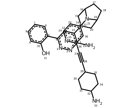 Nc1nnc(-c2ccccc2O)cc1N1CC2CCC(C1)N2c1ccnc(C#CC2CCC(N)CC2)c1